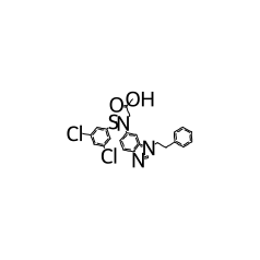 O=C(O)CN(Sc1cc(Cl)cc(Cl)c1)c1ccc2ncn(CCc3ccccc3)c2c1